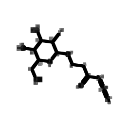 [N-]=[N+]=NC(=O)CCOC1OC(CO)C(O)C(O)C1I